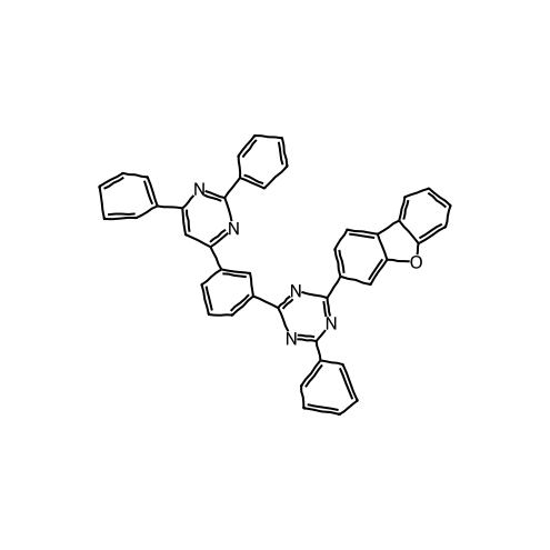 c1ccc(-c2cc(-c3cccc(-c4nc(-c5ccccc5)nc(-c5ccc6c(c5)oc5ccccc56)n4)c3)nc(-c3ccccc3)n2)cc1